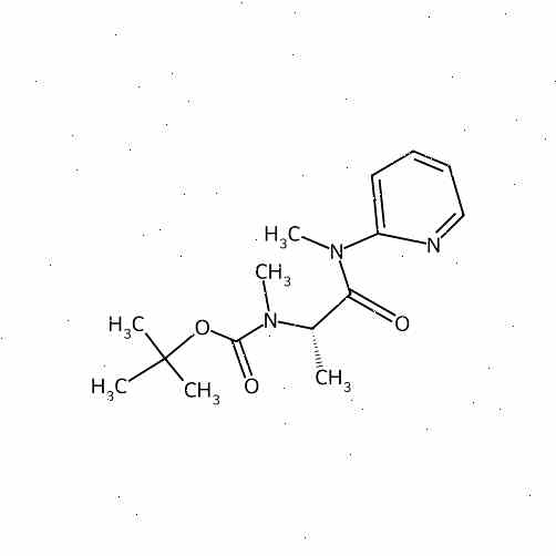 C[C@@H](C(=O)N(C)c1ccccn1)N(C)C(=O)OC(C)(C)C